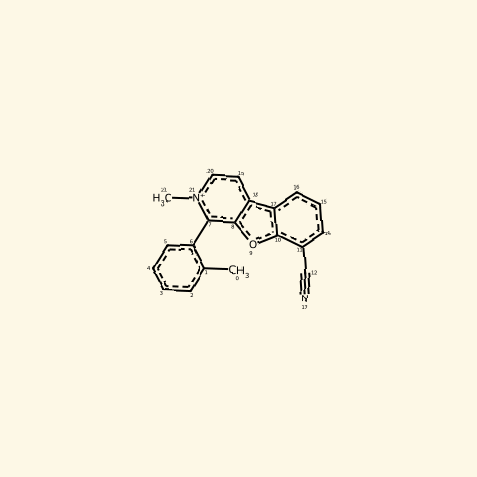 Cc1ccccc1-c1c2oc3c(C#N)cccc3c2cc[n+]1C